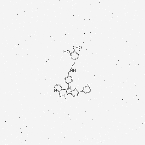 Nc1ncccc1-c1nc2ccc(-c3cccnc3)nc2n1-c1ccc(CNCCc2ccc(C=O)c(O)c2)cc1